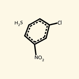 O=[N+]([O-])c1cccc(Cl)c1.S